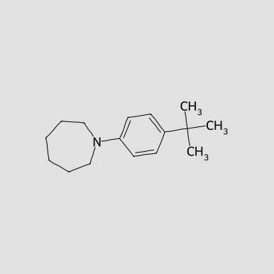 CC(C)(C)c1ccc(N2CCCCCC2)cc1